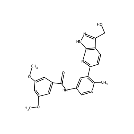 COc1cc(OC)cc(C(=O)Nc2cnc(C)c(-c3ccc4c(CO)n[nH]c4n3)c2)c1